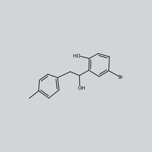 Cc1ccc(CC(O)c2cc(Br)ccc2O)cc1